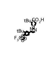 CC(C)(C)c1cc(-c2ccnc(N3CCN(C(=O)O)C(C(C)(C)C)C3)n2)ccc1OS(=O)(=O)C(F)(F)F